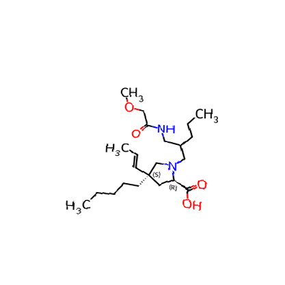 CC=C[C@]1(CCCCC)C[C@H](C(=O)O)N(CC(CCC)CNC(=O)COC)C1